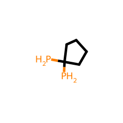 PC1(P)CCCC1